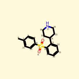 Cc1ccc(S(=O)(=O)c2ccccc2C2CCNCC2)cc1